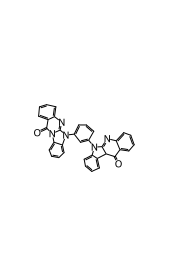 O=C1c2ccccc2N=C2C1c1ccccc1N2c1cccc(-n2c3ccccc3n3c(=O)c4ccccc4nc23)c1